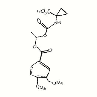 COc1ccc(C(=O)OC(C)OC(=O)NC2(C(=O)O)CC2)cc1OC